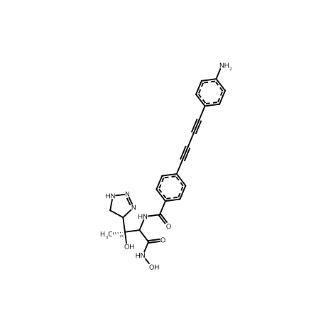 C[C@](O)(C1CNN=N1)C(NC(=O)c1ccc(C#CC#Cc2ccc(N)cc2)cc1)C(=O)NO